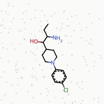 CCC(N)C(O)C1CCN(c2ccc(Cl)cc2)CC1